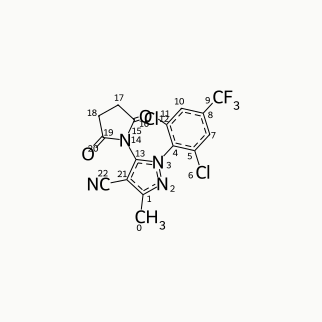 Cc1nn(-c2c(Cl)cc(C(F)(F)F)cc2Cl)c(N2C(=O)CCC2=O)c1C#N